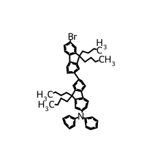 CCCCC1(CCCC)c2cc(Br)ccc2-c2ccc(-c3ccc4c(c3)C(CCCC)(CCCC)c3cc(N(c5ccccc5)c5ccccc5)ccc3-4)cc21